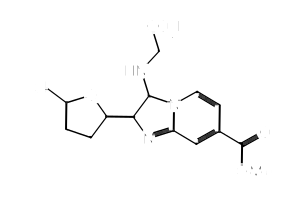 COC(=O)C1=CC2=NC(C3CCC(Cl)O3)C(NCC(=O)O)N2C=C1